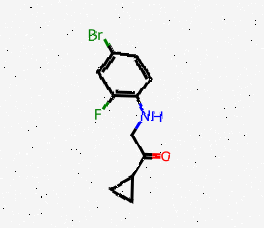 O=C(CNc1ccc(Br)cc1F)C1CC1